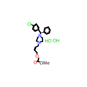 COC(=O)COC/C=C\CN1CCN([C@H](c2ccccc2)c2ccc(Cl)cc2)CC1.Cl.Cl